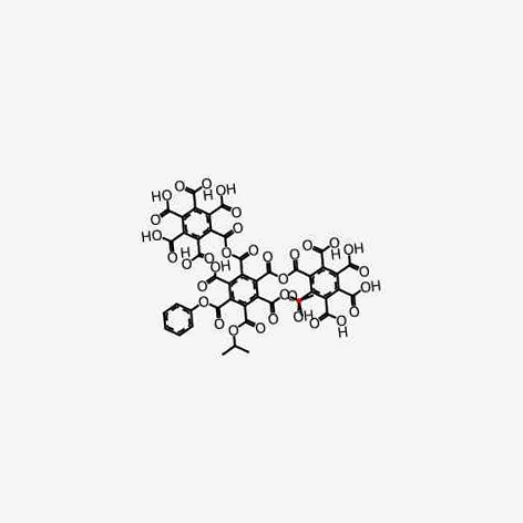 CC(C)OC(=O)c1c(C(=O)Oc2ccccc2)c(C(=O)O)c(C(=O)OC(=O)c2c(C(=O)O)c(C(=O)O)c(C(=O)O)c(C(=O)O)c2C(=O)O)c(C(=O)OC(=O)c2c(C(=O)O)c(C(=O)O)c(C(=O)O)c(C(=O)O)c2C(=O)O)c1C(=O)OC(C)C